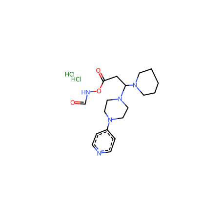 Cl.Cl.O=CNOC(=O)CC(N1CCCCC1)N1CCN(c2ccncc2)CC1